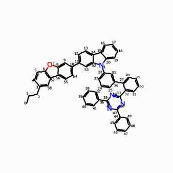 CCCc1ccc2oc3cc(-c4ccc5c6ccccc6n(-c6cccc(-c7ccccc7-c7nc(-c8ccccc8)nc(-c8ccccc8)n7)c6)c5c4)ccc3c2c1